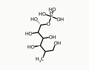 CC(CO)[C@@H](O)C(O)C(O)[C@H](O)O[PH](O)(O)O